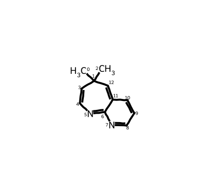 CC1(C)C=CN=c2ncccc2=C1